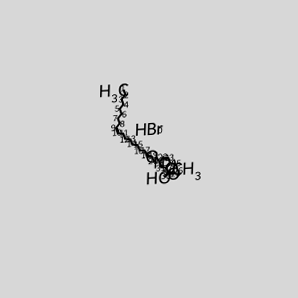 Br.CCCCCCCC/C=C\CCCCCCCCOCN1C=CC(CC)=C(C(=O)O)C1